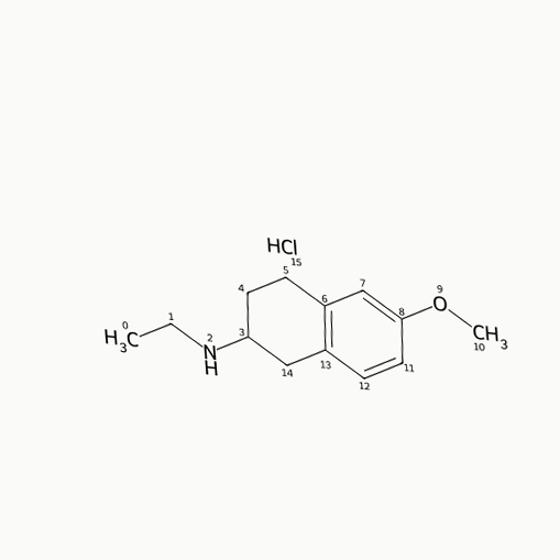 CCNC1CCc2cc(OC)ccc2C1.Cl